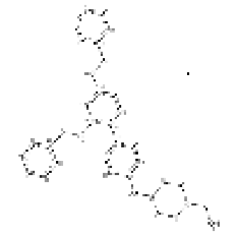 OCC1CCC(Oc2ccc(-c3ccc(OCc4ccccc4)nc3OCc3ccccc3)cn2)CC1